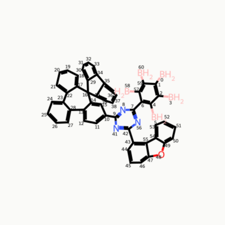 Bc1c(B)c(B)c(-c2nc(-c3ccc4c(c3)C3(c5ccccc5-c5ccccc5-4)c4ccccc4-c4ccccc43)nc(-c3cccc4oc5ccccc5c34)n2)c(B)c1B